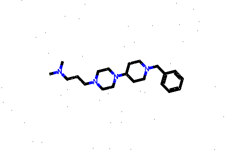 CN(C)CCCN1CCN(C2CCN(Cc3ccccc3)CC2)CC1